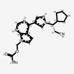 CC(C)(C)C(=O)OCn1ccc2c(-c3cnn([C@@H](CC#N)C4CCCC4)c3)ncnc21